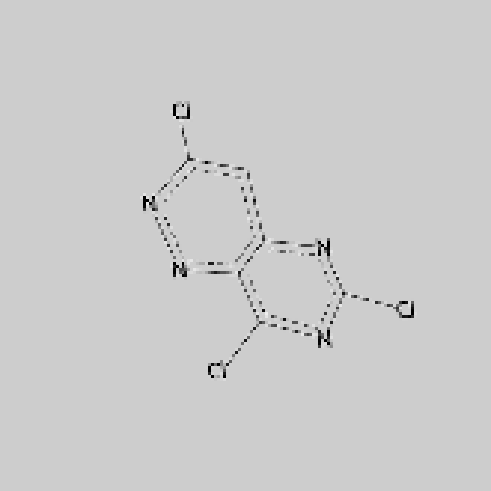 Clc1cc2nc(Cl)nc(Cl)c2nn1